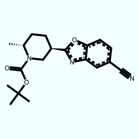 C[C@@H]1CC[C@@H](c2nc3cc(C#N)ccc3o2)CN1C(=O)OC(C)(C)C